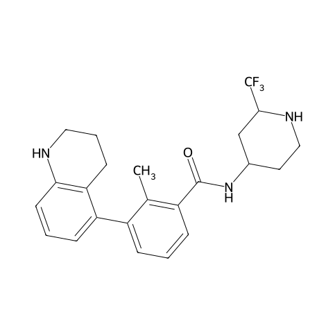 Cc1c(C(=O)NC2CCNC(C(F)(F)F)C2)cccc1-c1cccc2c1CCCN2